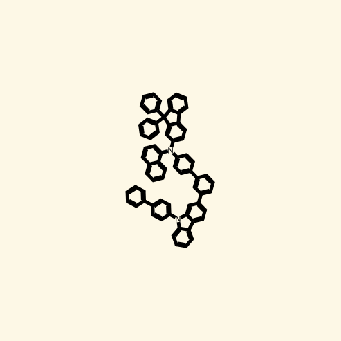 c1ccc(-c2ccc(-n3c4ccccc4c4ccc(-c5cccc(-c6ccc(N(c7ccc8c(c7)C(c7ccccc7)(c7ccccc7)c7ccccc7-8)c7cccc8ccccc78)cc6)c5)cc43)cc2)cc1